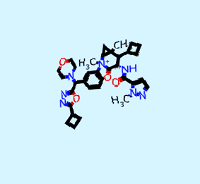 Cn1nccc1C(=O)N[C@@H]1C(=O)[N+](C)(c2cccc(C(c3nnc(C4CCC4)o3)N3CCOCC3)c2)C2CC2(C)C1C1CCC1